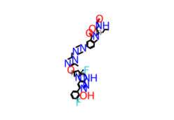 CCC[C@@H](C(=O)NC=O)N1Cc2ccc(N3CCN(Cc4cnc(O[C@H]5CN6c7cc(-c8cccc(F)c8O)nnc7NC[C@@]6(CF)C5)c(C)n4)CC3)cc2C1=O